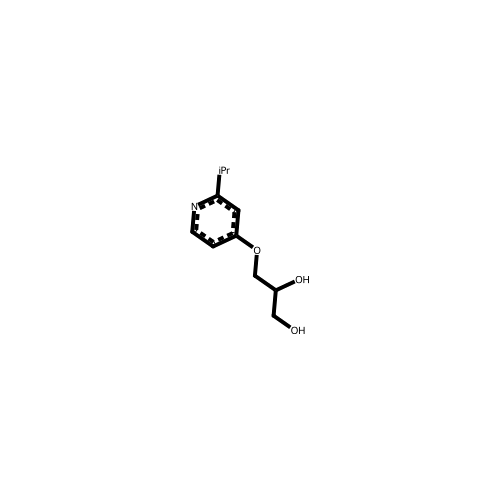 CC(C)c1cc(OCC(O)CO)ccn1